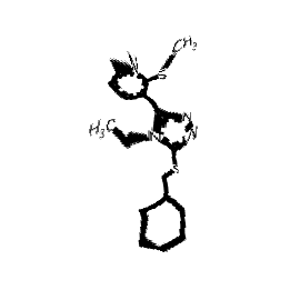 CCn1c(SCC2CCCCC2)nnc1-c1cccnc1SC